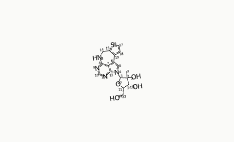 CC1(O)C(n2cc3c4c(ncnc42)NCc2sccc2-3)OC(CO)[C@H]1O